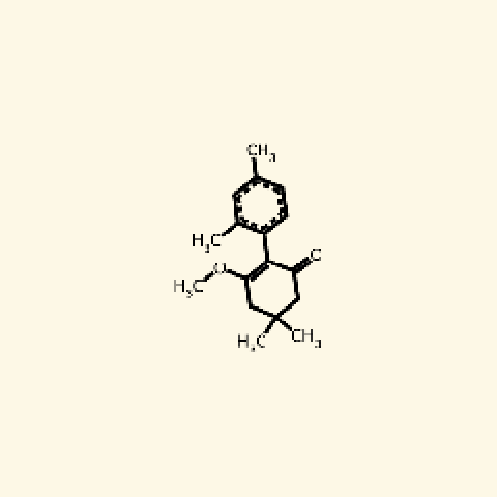 COC1=C(c2ccc(C)cc2C)C(=O)CC(C)(C)C1